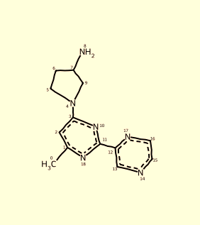 Cc1cc(N2CCC(N)C2)nc(-c2cnccn2)n1